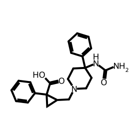 NC(=O)NC1(c2ccccc2)CCN(CC2CC2(C(=O)O)c2ccccc2)CC1